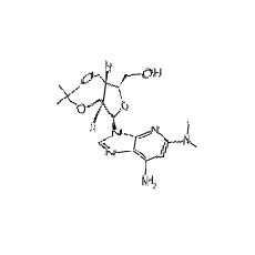 CN(C)c1cc(N)c2ncn([C@@H]3O[C@H](CO)[C@H]4OC(C)(C)O[C@H]43)c2n1